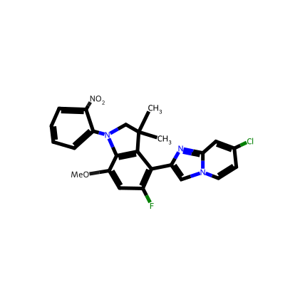 COc1cc(F)c(-c2cn3ccc(Cl)cc3n2)c2c1N(c1ccccc1[N+](=O)[O-])CC2(C)C